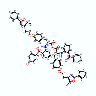 Cc1oc(-c2ccccc2)nc1CCOc1ccc(C[C@H](Nc2ccccc2C(=O)c2ccncc2)C(=O)OC(=O)[C@H](Cc2ccc(OCCc3nc(-c4ccccc4)oc3C)cc2)Nc2ccccc2C(=O)c2cc[n+]([O-])cc2)cc1